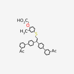 CC(=O)c1cccc(-c2ccc(C(=CCSc3ccc(OCC(=O)O)c(C)c3)c3ccc(-c4cccc(C(C)=O)c4)cc3)cc2)c1